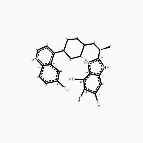 C[C@H](CC1CCC(c2ccnc3ccc(F)cc23)CC1)c1nc2cc(F)c(F)c(F)c2[nH]1